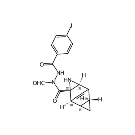 O=CN(NC(=O)c1ccc(I)cc1)C(=O)[C@@]12N[C@H]1C1C=C[C@H]2[C@@H]2C[C@@H]12